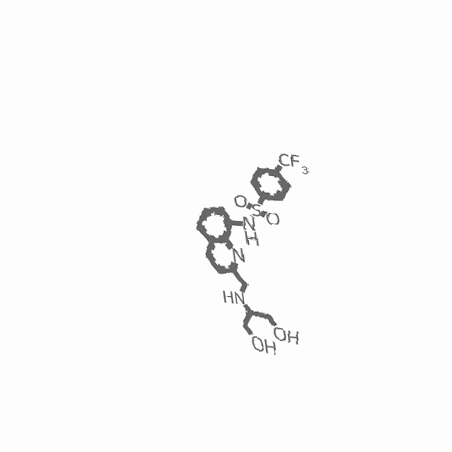 O=S(=O)(Nc1cccc2ccc(CNC(CO)CO)nc12)c1ccc(C(F)(F)F)cc1